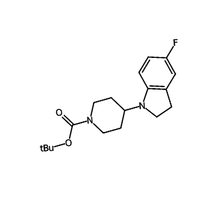 CC(C)(C)OC(=O)N1CCC(N2CCc3cc(F)ccc32)CC1